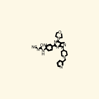 CO/C(=N\C#N)Nc1ccc(-c2nc(N3CCOCC3)c3cnn(C4CCN(Cc5cccnc5)CC4)c3n2)cc1